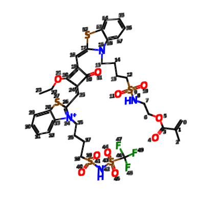 C=C(C)C(=O)OCCNS(=O)(=O)CCCCN1C(=CC2=C(OCC)C(=Cc3sc4ccccc4[n+]3CCCCS(=O)(=O)NS(=O)(=O)C(F)(F)F)C2=O)Sc2ccccc21